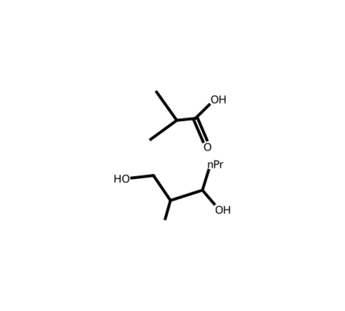 CC(C)C(=O)O.CCCC(O)C(C)CO